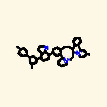 Cc1ccc(-c2cc(C)cc(-c3ccc(-c4ccc5c(c4)-c4cccc[n+]4CCC4C(CC5)c5ccccc5-c5cc(C)cc[n+]54)c4ncccc34)c2)cc1